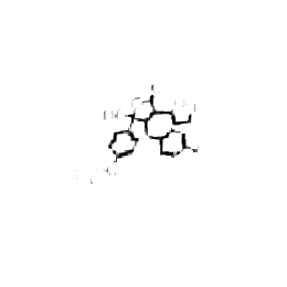 COc1ccc(C2(O)OC(=O)C(C3=CCOO3)=C2Cc2ccc(I)cc2)cc1